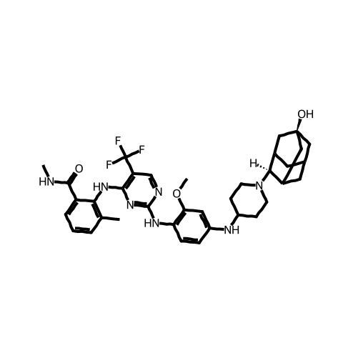 CNC(=O)c1cccc(C)c1Nc1nc(Nc2ccc(NC3CCN([C@H]4C5CC6CC4C[C@@](O)(C6)C5)CC3)cc2OC)ncc1C(F)(F)F